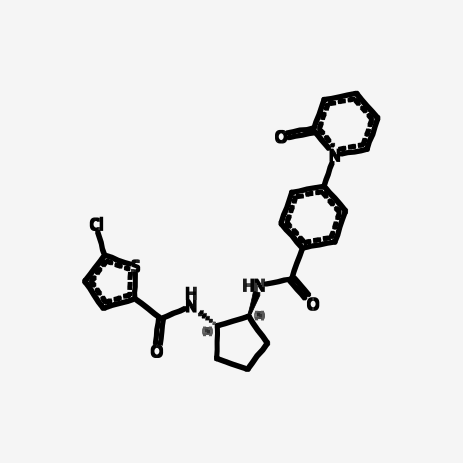 O=C(N[C@H]1CCC[C@@H]1NC(=O)c1ccc(Cl)s1)c1ccc(-n2ccccc2=O)cc1